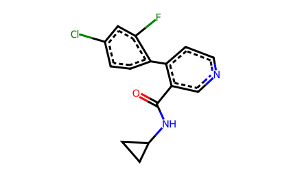 O=C(NC1CC1)c1cnccc1-c1ccc(Cl)cc1F